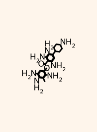 Cc1c(N)c(N)cc(OC(=O)c2c(N)cc(C3CCC(N)CC3)c(N)c2N)c1N